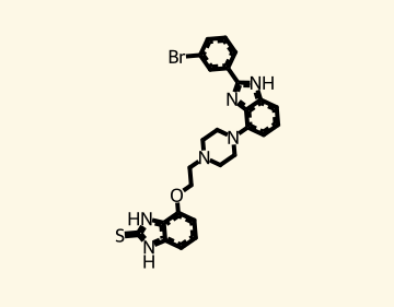 S=c1[nH]c2cccc(OCCN3CCN(c4cccc5[nH]c(-c6cccc(Br)c6)nc45)CC3)c2[nH]1